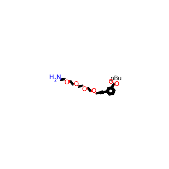 CCCCOC(=O)c1cccc(C#CCOCCOCCOCCOCCN)c1